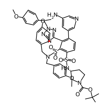 COc1ccc(CN(Cc2ccc(OC)cc2)S(=O)(=O)c2c(S(=O)(=O)N[C@@H]3CCN(C(=O)OC(C)(C)C)C3)ccc(-c3cncc(N)c3)c2-c2nnn(Cc3ccc(OC)cc3)n2)cc1